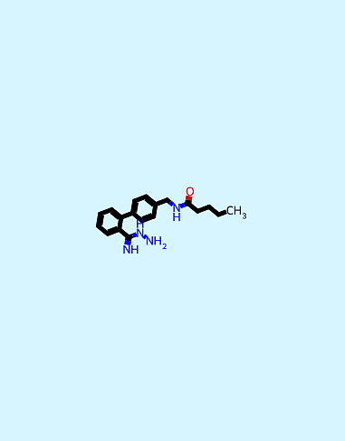 CCCCC(=O)NCc1ccc(-c2ccccc2C(=N)NN)cc1